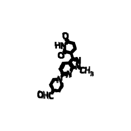 Cn1nc(C2CCC(=O)NC2=O)c2ccc(N3CCC(C=O)CC3)nc21